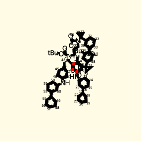 CC(C)(C)OC(=O)N([C@@H](Cc1ccc(Nc2cccc(-c3ccccc3)c2)cc1)C1CN(C2(c3cccc(C(C)(C)C)c3)CC2)C(=O)O1)[C@@H](Cc1ccc(Nc2cccc(-c3ccccc3)c2)cc1)C1CN(C2(c3cccc(C(C)(C)C)c3)CC2)C(=O)O1